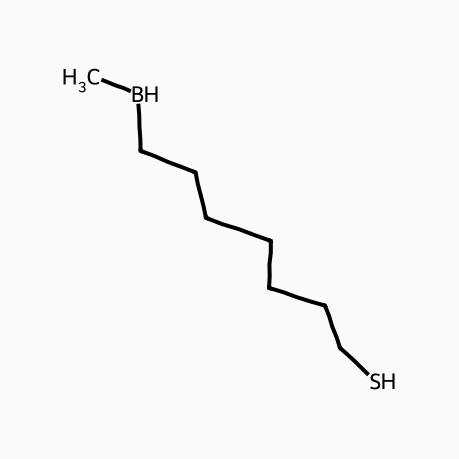 CBCCCCCCCS